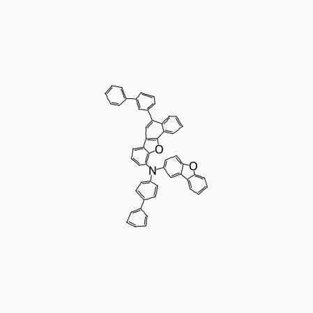 c1ccc(-c2ccc(N(c3ccc4oc5ccccc5c4c3)c3cccc4c3oc3c5ccccc5c(-c5cccc(-c6ccccc6)c5)cc43)cc2)cc1